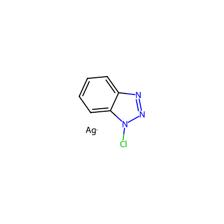 Cln1nnc2ccccc21.[Ag]